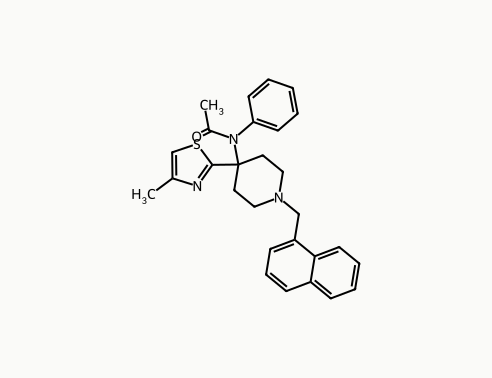 CC(=O)N(c1ccccc1)C1(c2nc(C)cs2)CCN(Cc2cccc3ccccc23)CC1